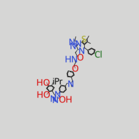 Cc1sc2c(c1C)C(c1ccc(Cl)cc1)=N[C@@H](CC(=O)NCCOc1cccc(CN(C)Cc3ccc(-n4c(O)nnc4-c4cc(C(C)C)c(O)cc4O)cc3)c1)c1nnc(C)n1-2